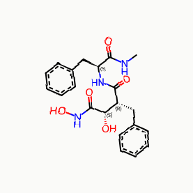 CNC(=O)[C@H](Cc1ccccc1)NC(=O)[C@H](Cc1ccccc1)[C@H](O)C(=O)NO